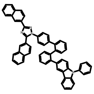 c1ccc(-n2c3ccccc3c3cc(-c4ccccc4-c4ccccc4-c4ccc(-n5nc(-c6ccc7ccccc7c6)nc5-c5ccc6ccccc6c5)cc4)ccc32)cc1